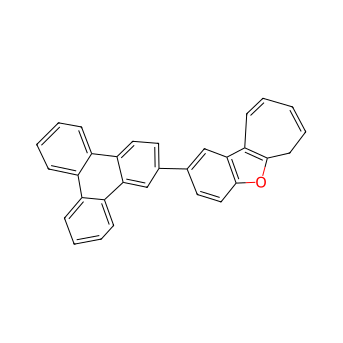 C1=CCc2oc3ccc(-c4ccc5c6ccccc6c6ccccc6c5c4)cc3c2C=C1